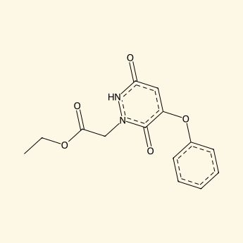 CCOC(=O)Cn1[nH]c(=O)cc(Oc2ccccc2)c1=O